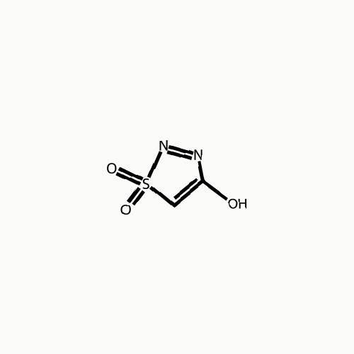 O=S1(=O)C=C(O)N=N1